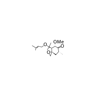 CO[C@@H]1C(=O)[C@H](C)C[C@]2(CO2)[C@H]1C(C)(C)OCC=C(C)C